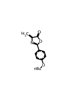 C=C1N=C(c2ccc(OCCCC)cc2)OC1=O